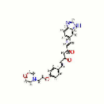 O=C(/C=C/c1ccc(OCCN2CCOCC2)cc1)CC(=O)/C=C/c1ccc2nc[nH]c2c1